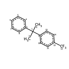 CC(C)(c1ccccc1)c1ccc(C(F)(F)F)cc1